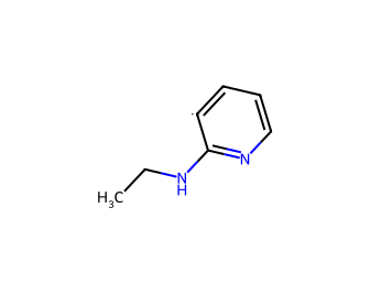 CCNc1[c]cccn1